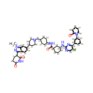 Cn1nc(C2CCC(=O)NC2=O)c2ccc(C3CCN(CC4CCC(NC(=O)[C@H]5CCC[C@H](Nc6ncc(F)c(-c7cccc(-n8ccccc8=O)c7)n6)C5)CC4)CC3)cc21